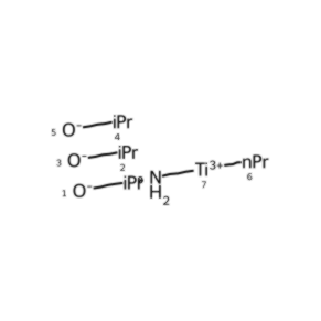 CC(C)[O-].CC(C)[O-].CC(C)[O-].CC[CH2][Ti+3][NH2]